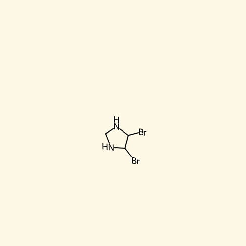 BrC1NCNC1Br